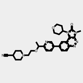 CC(OCCN1CCC(C#N)CC1)c1ccc(-c2ccc3nnc4c(c3c2)n(C2CCOCC2)c(=O)n4C)cn1